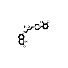 O.O=C1CCc2ccc(OCCCCN3CCN(c4cccc(Cl)c4Cl)CC3)cc2N1